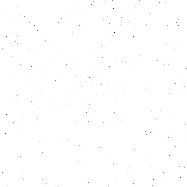 O=C(Cl)[C@H]1CN(c2ccc(N3CCOCC3)c(F)c2)C(=O)O1